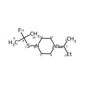 CCC(C)=[N+]1CCN(SC(C)(C)F)CC1